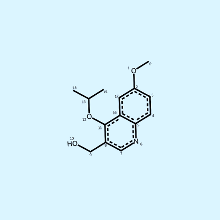 COc1ccc2ncc(CO)c(OC(C)C)c2c1